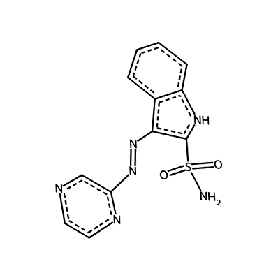 NS(=O)(=O)c1[nH]c2ccccc2c1N=Nc1cnccn1